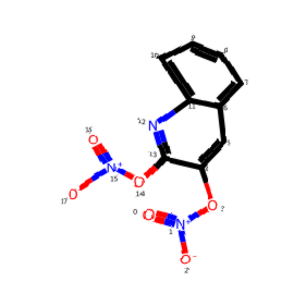 O=[N+]([O-])Oc1cc2ccccc2nc1O[N+](=O)[O-]